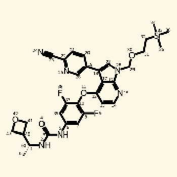 C[C@@H](NC(=O)Nc1cc(F)c(Oc2ccnc3c2c(-c2ccc(C#N)nc2)cn3COCC[Si](C)(C)C)c(F)c1)C1COC1